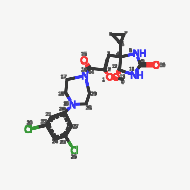 COC(CC1(C2CC2)NC(=O)NC1=O)C(=O)N1CCN(c2cc(Cl)cc(Cl)c2)CC1